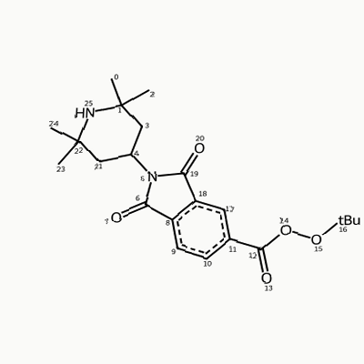 CC1(C)CC(N2C(=O)c3ccc(C(=O)OOC(C)(C)C)cc3C2=O)CC(C)(C)N1